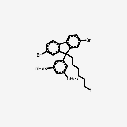 CCCCCCc1cc(CCCCCC)cc(C2(CCCCCCI)c3cc(Br)ccc3-c3ccc(Br)cc32)c1